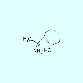 Cl.N[C@H](C1CCCCC1)C(F)(F)F